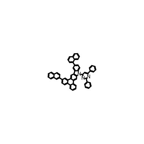 c1ccc(-c2cc(-n3c4ccc(-c5cccc6ccccc56)cc4c4cc5c6cc(-c7ccc8ccccc8c7)ccc6c6ccccc6c5cc43)nc(-c3ccccc3)n2)cc1